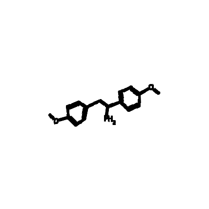 COc1ccc(CC(P)c2ccc(OC)cc2)cc1